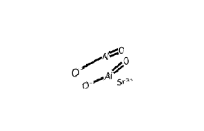 [O]=[Al][O-].[O]=[Al][O-].[Sr+2]